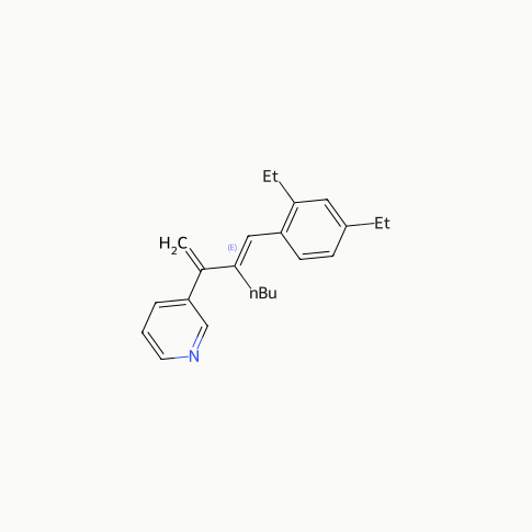 C=C(/C(=C/c1ccc(CC)cc1CC)CCCC)c1cccnc1